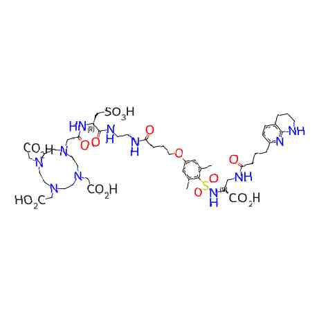 Cc1cc(OCCCC(=O)NCCNC(=O)[C@H](CS(=O)(=O)O)NC(=O)CN2CCN(CC(=O)O)CCN(CC(=O)O)CCN(CC(=O)O)CC2)cc(C)c1S(=O)(=O)N[C@@H](CNC(=O)CCCc1ccc2c(n1)NCCC2)C(=O)O